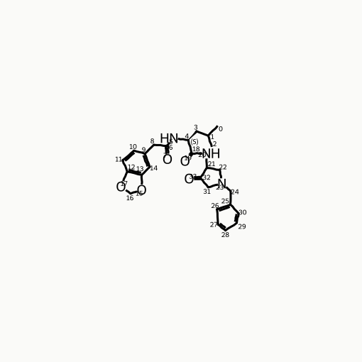 CC(C)C[C@H](NC(=O)Cc1ccc2c(c1)OCO2)C(=O)NC1CN(Cc2ccccc2)CC1=O